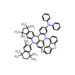 Cc1cc2c3c(c1)N(c1cccc4oc5ccccc5c14)c1cc(N(c4ccccc4)c4ccccc4)ccc1B3c1cc3c(cc1N2c1cc2c(cc1C)C(C)(C)CCC2(C)C)C(C)(C)CC3(C)C